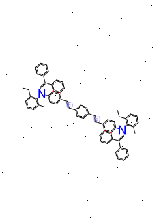 CCc1cccc(C)c1N(C=C(c1ccccc1)c1ccccc1)c1ccc(/C=C/c2ccc(/C=C/c3ccc(N(C=C(c4ccccc4)c4ccccc4)c4c(C)cccc4CC)cc3)cc2)cc1